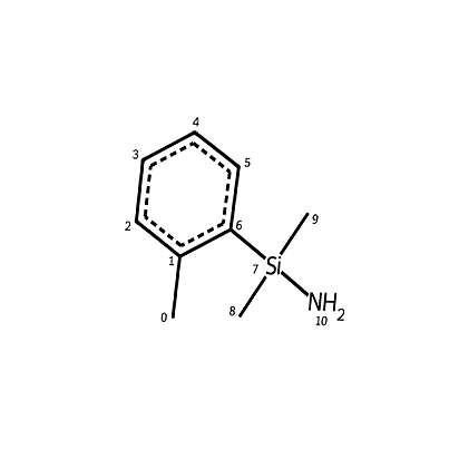 Cc1ccccc1[Si](C)(C)N